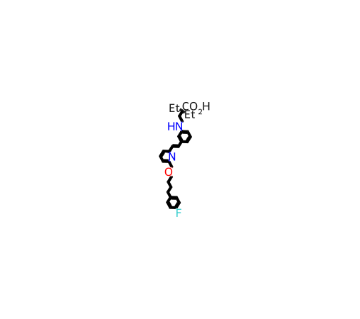 CCC(CC)(CCNc1cccc(C=Cc2cccc(COCCCCc3ccc(F)cc3)n2)c1)C(=O)O